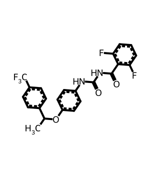 CC(Oc1ccc(NC(=O)NC(=O)c2c(F)cccc2F)cc1)c1ccc(C(F)(F)F)cc1